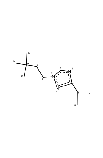 CC(C)c1ncn(CCC(C)(C)C)n1